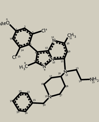 COc1cc(Cl)c(-c2c(C)nn3c(N(CCN)C4CCN(Cc5ccccc5)CC4)cc(C)nc23)c(Cl)c1